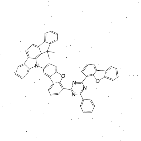 CC1(C)c2ccccc2-c2ccc3c4ccccc4n(-c4ccc5oc6c(-c7nc(-c8ccccc8)nc(-c8cccc9c8oc8ccccc89)n7)cccc6c5c4)c3c21